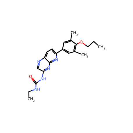 CCCOc1c(C)cc(-c2ccc3ncc(NC(=O)NCC)nc3n2)cc1C